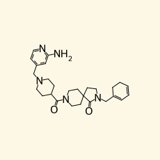 Nc1cc(CN2CCC(C(=O)N3CCC4(CC3)CCN(CC3=CC=CCC3)C4=O)CC2)ccn1